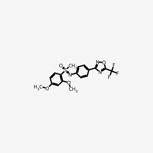 COc1ccc(S(C)(=O)=Nc2ccc(-c3noc(C(F)(F)F)n3)cc2)c(OC)c1